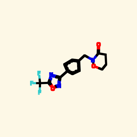 O=C1CCCON1Cc1ccc(-c2noc(C(F)(F)F)n2)cc1